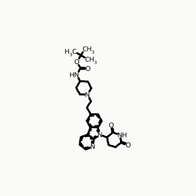 CC(C)(C)OC(=O)NC1CCN(CCc2ccc3c(c2)c2cccnc2n3C2CCC(=O)NC2=O)CC1